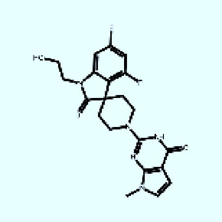 Cn1ccc2c(=O)[nH]c(N3CCC4(CC3)C(=O)N(CCO)c3cc(F)cc(F)c34)nc21